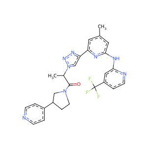 Cc1cc(Nc2cc(C(F)(F)F)ccn2)nc(-c2cn(C(C)C(=O)N3CCC(c4ccncc4)C3)nn2)c1